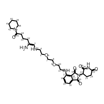 N/C(=C\NCCOCCOCCNc1cccc2c1C(=O)N(C1CCC(=O)NC1=O)C2=O)CCCC(=O)N1CCCCC1